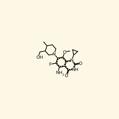 COc1c(N2CCC(C)C(CO)C2)c(F)c(N)c2c(=O)[nH]c(=O)n(C3CC3)c12